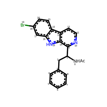 CC(=O)NC(Cc1ccccc1)c1nccc2c1[nH]c1cc(Br)ccc12